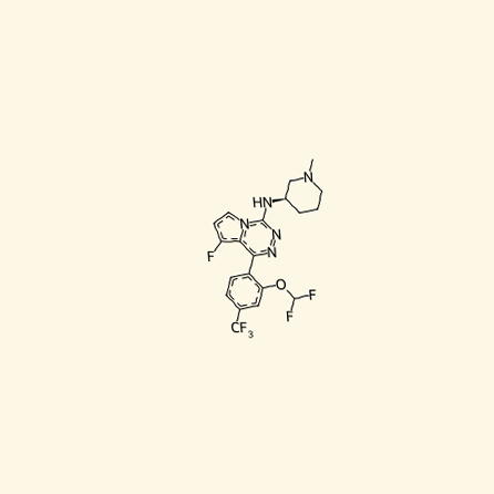 CN1CCC[C@@H](Nc2nnc(-c3ccc(C(F)(F)F)cc3OC(F)F)c3c(F)ccn23)C1